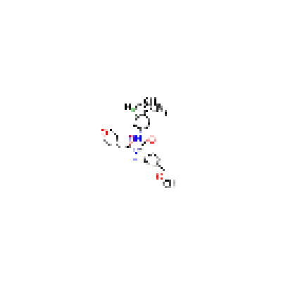 COCc1ccc([C@@H](NC(=O)CC2CCOCC2)C(=O)Nc2ccc([Si](C)(C)C)c(F)c2)cc1